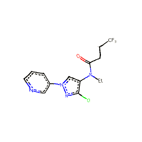 CCN(C(=O)C[CH]C(F)(F)F)c1cn(-c2cccnc2)nc1Cl